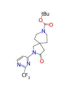 CC(C)(C)OC(=O)N1CCC2(CC1)CC(=O)N(c1ccnc(C(F)(F)F)n1)C2